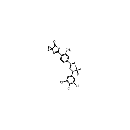 Cc1cc(C(F)=CC(c2cc(Cl)c(Cl)c(Cl)c2)C(F)(F)F)ccc1C1=NC2(CC2)C(=O)O1